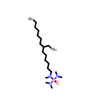 CN(C)P(=O)(N(C)C)N(C)CCCCCCC(CCCCCCC(C)(C)C)CC(C)(C)C